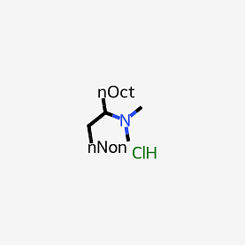 CCCCCCCCCCC(CCCCCCCC)N(C)C.Cl